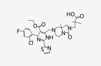 CCOC(=O)C1=C(CN2CCN3C(=O)N(CC(C)(C)C(=O)O)CC3(C)C2)NC(c2nccs2)=NC1c1ccc(F)cc1Cl